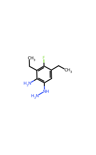 CCc1cc(NN)c(N)c(CC)c1F